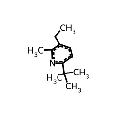 CCc1ccc(C(C)(C)C)nc1C